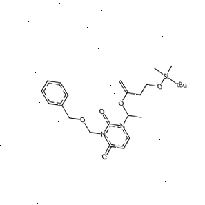 C=C(CCO[Si](C)(C)C(C)(C)C)OC(C)n1ccc(=O)n(COCc2ccccc2)c1=O